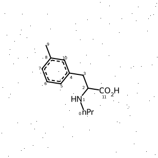 CCCNC(Cc1cccc(C)c1)C(=O)O